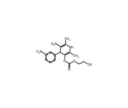 CC1=C(OC(=O)OCCC#N)C(c2cccc([N+](=O)[O-])c2)C([N+](=O)[O-])=C(C)N1